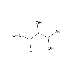 [CH]C(=O)C(O)C(O)C(O)C=O